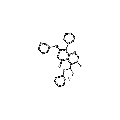 CCC(Oc1ccccc1)c1c(F)cnc2c1c(=O)cc(Nc1ccccc1)n2-c1ccccc1